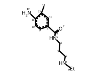 CCNCCCNC(=O)c1ccc(N)c(C)c1